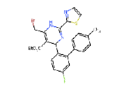 CCOC(=O)C1=C(CBr)NC(c2nccs2)=NC1c1ccc(F)cc1-c1ccc(C(F)(F)F)cc1